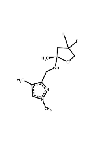 Cc1cn(C)nc1CN[C@]1(C)CC(F)(F)CO1